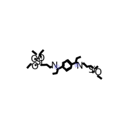 CCO[Si](C)(C)CCC/N=C(\CC)c1ccc(/C(CC)=N/CCC[Si](OCC)(OCC)OCC)cc1